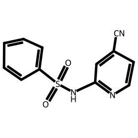 N#Cc1ccnc(NS(=O)(=O)c2ccccc2)c1